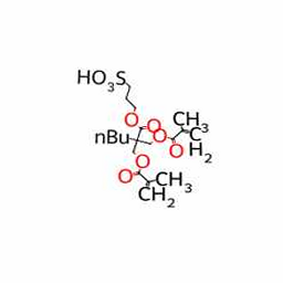 C=C(C)C(=O)OCC(CCCC)(COC(=O)C(=C)C)C(=O)OCCCS(=O)(=O)O